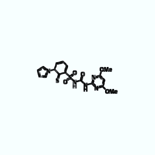 COc1cc(OC)nc(NC(=O)NS(=O)(=O)C2=CC=CC(n3cccc3)C2=S)n1